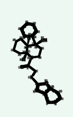 O=C(CSc1nc2ccccc2o1)N1CC[C@@](O)(c2ccccc2)[C@@H]2CCCC[C@H]21